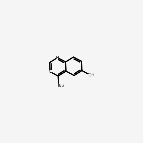 CC(C)(C)c1ncnc2ccc(O)cc12